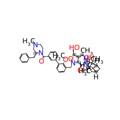 COc1c(CN2O[C@@H](CO)[C@@H]([C@H](C)O)[C@H]2C(=O)N[C@H]2C[C@H]3C[C@@H]([C@@H]2C)C3(C)C)cccc1-c1cccc(C(=O)N2CCN(C)C[C@@H]2Cc2ccccc2)c1